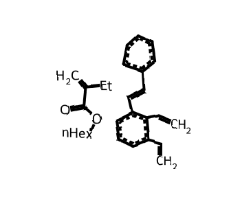 C=C(CC)C(=O)OCCCCCC.C=Cc1cccc(C=Cc2ccccc2)c1C=C